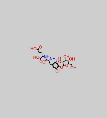 N[C@@H](Cc1ccc(OC2O[C@H](CO)[C@@H](O)[C@H](O)[C@H]2O)c(O)c1)C(=O)N[C@@H](CCC(=O)O)C(=O)O